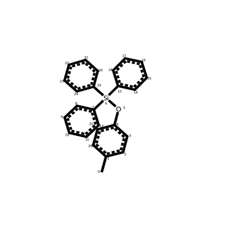 Cc1ccc(O[Si](c2ccccc2)(c2ccccc2)c2ccccc2)cc1